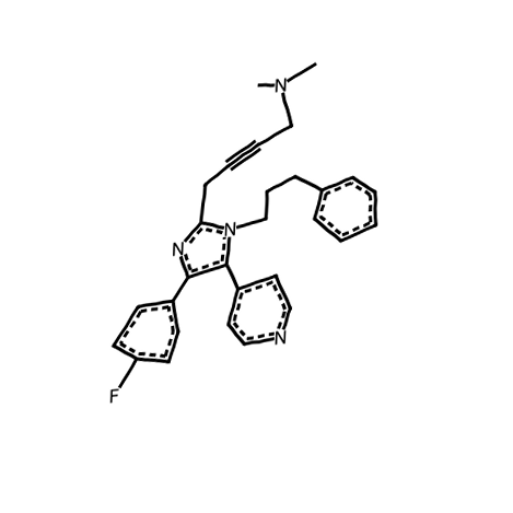 CN(C)CC#CCc1nc(-c2ccc(F)cc2)c(-c2ccncc2)n1CCCc1ccccc1